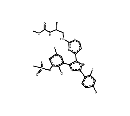 COC(=O)N[C@@H](C)CNc1nccc(-c2[nH]c(-c3ccc(F)cc3F)nc2-c2cc(F)cc(NS(C)(=O)=O)c2Cl)n1